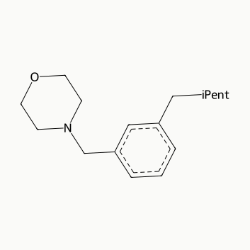 CCCC(C)Cc1cccc(CN2CCOCC2)c1